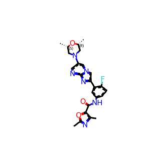 Cc1nc(C)c(C(=O)Nc2ccc(F)c(-c3cn4cc(N5C[C@@H](C)O[C@@H](C)C5)cnc4n3)c2)o1